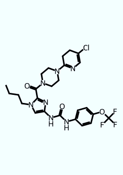 CCCCn1cc(NC(=O)Nc2ccc(OC(F)(F)F)cc2)nc1C(=O)N1CCN(C2=NC=C(Cl)CC2)CC1